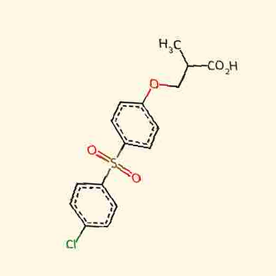 CC(COc1ccc(S(=O)(=O)c2ccc(Cl)cc2)cc1)C(=O)O